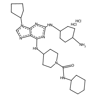 Cl.Cl.NC1CCC(Nc2nc(NC3CCN(C(=O)NC4CCCCC4)CC3)c3ncn(C4CCCC4)c3n2)CC1